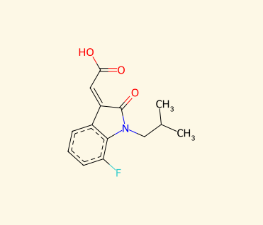 CC(C)CN1C(=O)C(=CC(=O)O)c2cccc(F)c21